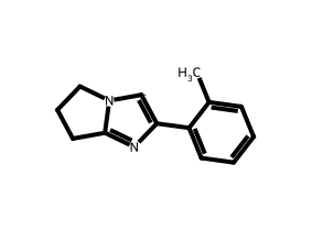 Cc1ccccc1-c1[c]n2c(n1)CCC2